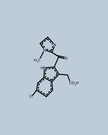 Cn1ccnc1C(=O)c1[nH]c2cc(Cl)ccc2c1CC(=O)O